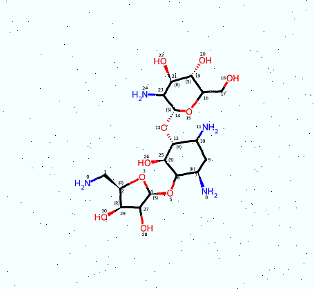 NC[C@H]1O[C@@H](OC2[C@H](N)CC(N)[C@@H](O[C@H]3OC(CO)[C@@H](O)[C@H](O)C3N)[C@@H]2O)C(O)[C@H]1O